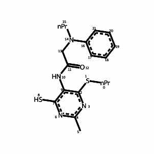 CCCSc1nc(C)nc(S)c1NC(=O)CN(CCC)c1ccccc1